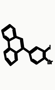 Brc1ccc(-c2cc3ccccc3c3ccccc23)cc1I